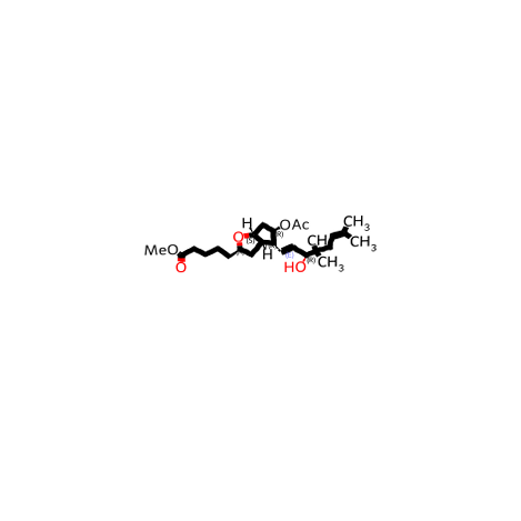 COC(=O)CCCC[C@@H]1C[C@@H]2[C@@H](/C=C/[C@@H](O)C(C)(C)CC=C(C)C)[C@H](OC(C)=O)C[C@@H]2O1